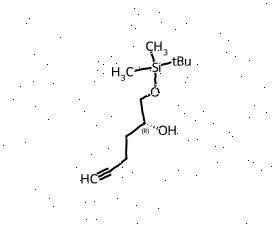 C#CCC[C@@H](O)CO[Si](C)(C)C(C)(C)C